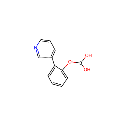 OB(O)Oc1ccccc1-c1cccnc1